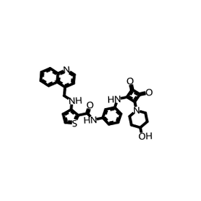 O=C(Nc1cccc(Nc2c(N3CCC(O)CC3)c(=O)c2=O)c1)c1sccc1NCc1ccnc2ccccc12